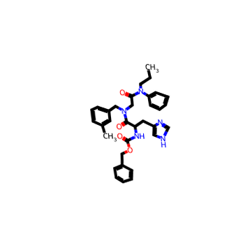 CCCN(C(=O)CN(Cc1cccc(C)c1)C(=O)C(Cc1c[nH]cn1)NC(=O)OCc1ccccc1)c1ccccc1